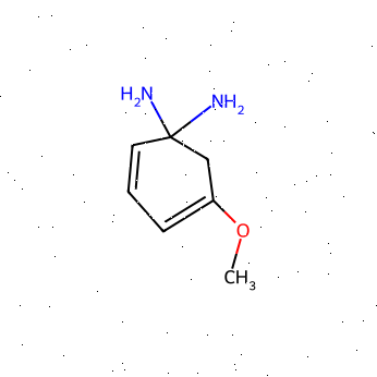 COC1=CC=CC(N)(N)C1